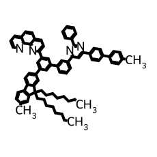 CCCCCCCCC1(CCCCCCCC)c2cc(C)ccc2-c2ccc(-c3cc(-c4cccc(-c5cc(-c6ccc(-c7ccc(C)cc7)cc6)nc(-c6ccccc6)n5)c4)cc(-c4ccc5ccc6cccnc6c5n4)c3)cc21